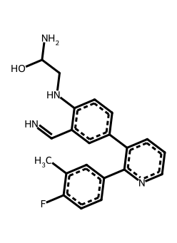 Cc1cc(-c2ncccc2-c2ccc(NCC(N)O)c(C=N)c2)ccc1F